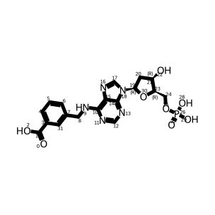 O=C(O)c1cccc(CNc2ncnc3c2ncn3[C@H]2C[C@@H](O)[C@@H](COP(=O)(O)O)O2)c1